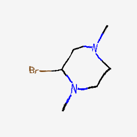 CN1CCN(C)C(Br)C1